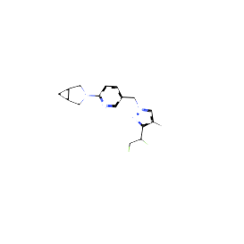 CCOC(=O)c1cn(Cc2ccc(N3CC4CC4C3)nc2)nc1C(F)CF